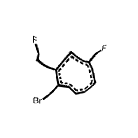 FCc1cc(F)ccc1Br